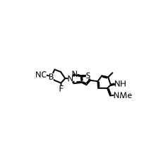 CN/C=C1/C=C(c2cc3cn(C4CCB(C#N)CC4F)nc3s2)C=C(C)C1=N